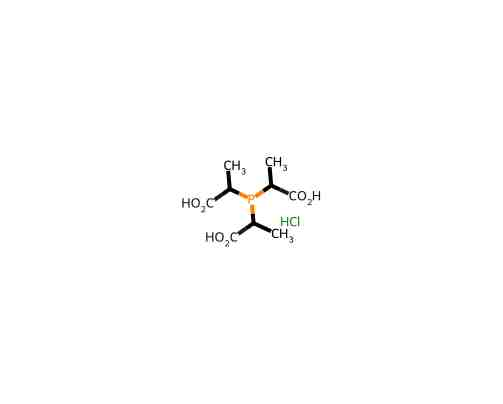 CC(C(=O)O)P(C(C)C(=O)O)C(C)C(=O)O.Cl